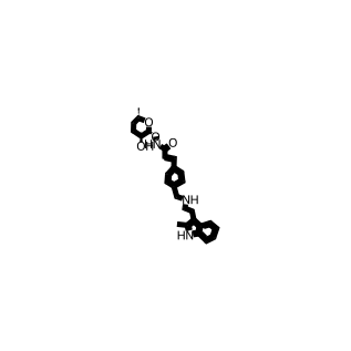 Cc1[nH]c2ccccc2c1CCNCc1ccc(/C=C/C(=O)NO[C@@H]2O[C@@H](C)CC[C@@H]2O)cc1